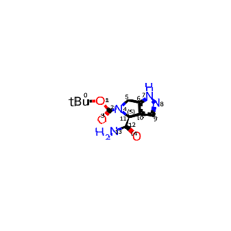 CC(C)(C)OC(=O)N1Cc2[nH]ncc2[C@H]1C(N)=O